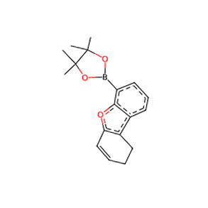 CC1(C)OB(c2cccc3c4c(oc23)C=CCC4)OC1(C)C